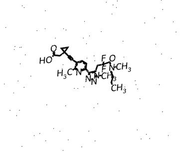 CCCCN(C)C(=O)C(F)(F)Cc1c(-c2ccc(C#CC3(CC(=O)O)CC3)c(C)n2)nnn1C